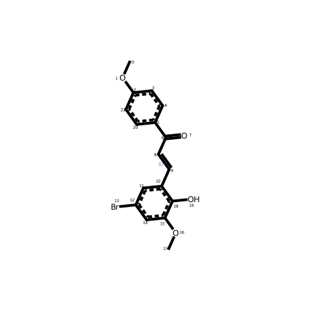 COc1ccc(C(=O)/C=C/c2cc(Br)cc(OC)c2O)cc1